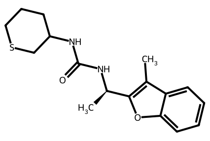 Cc1c([C@@H](C)NC(=O)NC2CCCSC2)oc2ccccc12